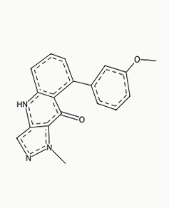 COc1cccc(-c2cccc3[nH]c4cnn(C)c4c(=O)c23)c1